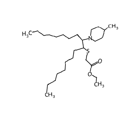 CCCCCCCCC(SCC(=O)OCC)C(CCCCCCCC)N1CCC(C)CC1